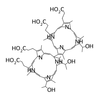 CC1=C(CCC(=O)O)C2=NC1=CC1(C3=C(C)c4cc5[nH]c(cc6nc(cc7[nH]c(cc3n4)c(C)c7CCC(=O)O)C(CCC(=O)O)=C6C)c(C)c5C(C)O)NC(C=C3N=C(C=c4[nH]c(c(CCC(=O)O)c4C)=C2)C(C(C)O)=C3C)C(C(C)O)=C1C